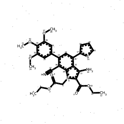 CCOC(=O)Cn1c(C(=O)OCC)c(N)c2c(-c3cccs3)cc(-c3cc(OC)c(OC)c(OC)c3)c(C#N)c21